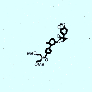 COCCN(CCOC)C(=O)c1ccc(-c2cc(NC(=O)C3(c4ccc5c(c4)OCO5)CC3)ccc2C)cc1